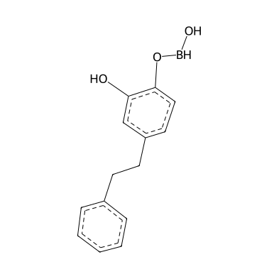 OBOc1ccc(CCc2ccccc2)cc1O